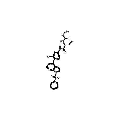 CC(C)C[C@@H](NC(=O)OC(C)(C)C)C(=O)Nc1ccc(-c2ccnc3c2ccn3S(=O)(=O)c2ccccc2)c(Cl)c1